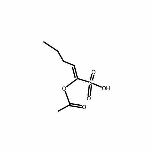 CCC/C=C(\OC(C)=O)S(=O)(=O)O